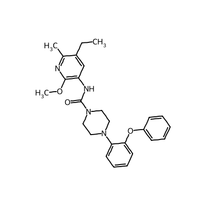 CCc1cc(NC(=O)N2CCN(c3ccccc3Oc3ccccc3)CC2)c(OC)nc1C